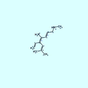 C=C/C(C=C(C)C)=C(N)/C=C/CNC